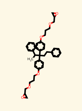 CC(c1ccccc1)C(CCc1ccccc1)(c1ccc(OCCCOCC2CO2)cc1)c1ccc(OCCCOCC2CO2)cc1